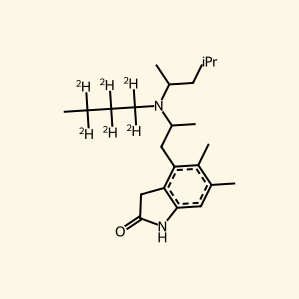 [2H]C([2H])(C)C([2H])([2H])C([2H])([2H])N(C(C)Cc1c(C)c(C)cc2c1CC(=O)N2)C(C)CC(C)C